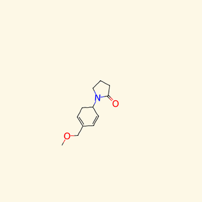 COCC1=CCC(N2CCCC2=O)C=C1